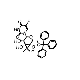 CC1(C)[C@]2(O)[C@@H](COC(c3ccccc3)(c3ccccc3)c3ccccc3)O[C@@H](n3cc(F)c(=O)[nH]c3=O)[C@H](O)[C@]12O